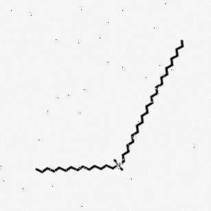 CCCCCCCCCCCCCCCCCCCCCCCCCC[N+](C)(C)CCCCCCCCCCCCCC